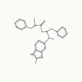 Cc1nc2cc(C(C)N(CC(=O)N(C)Cc3ccccc3)Cc3ccccc3)ccc2[nH]1